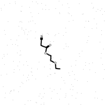 CCOCCOC(=O)CC#N